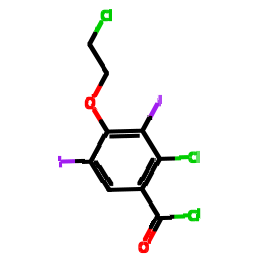 O=C(Cl)c1cc(I)c(OCCCl)c(I)c1Cl